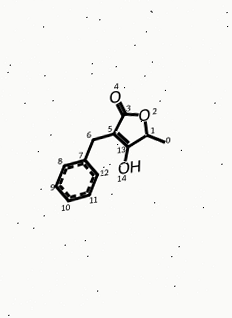 CC1OC(=O)C(Cc2ccccc2)=C1O